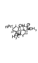 CCCc1cc(O)c(-c2c(C)ccc3c2CC(=O)N3C)c(O)c1